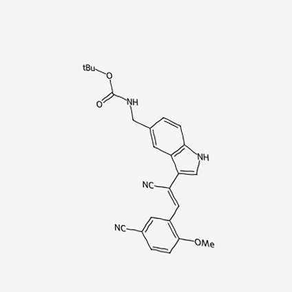 COc1ccc(C#N)cc1/C=C(\C#N)c1c[nH]c2ccc(CNC(=O)OC(C)(C)C)cc12